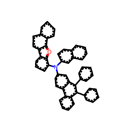 c1ccc(-c2c(-c3ccccc3)c3cc(N(c4ccc5ccccc5c4)c4cccc5c4oc4c6ccccc6ccc54)ccc3c3ccccc23)cc1